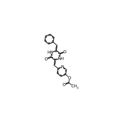 CC(=O)Oc1ccc(C=c2[nH]c(=O)c(=Cc3ccccc3)[nH]c2=O)nc1